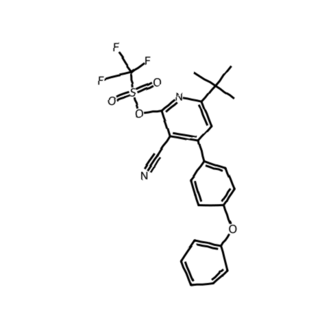 CC(C)(C)c1cc(-c2ccc(Oc3ccccc3)cc2)c(C#N)c(OS(=O)(=O)C(F)(F)F)n1